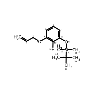 C=CCOc1cccc(O[Si](C)(C)C(C)(C)C)c1F